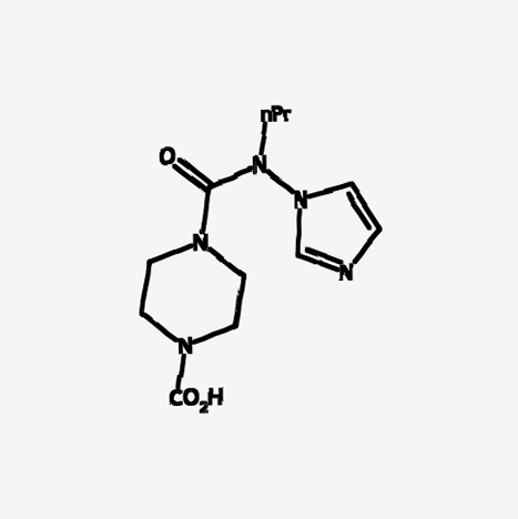 CCCN(C(=O)N1CCN(C(=O)O)CC1)n1ccnc1